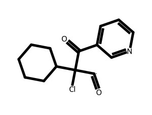 O=[C]C(Cl)(C(=O)c1cccnc1)C1CCCCC1